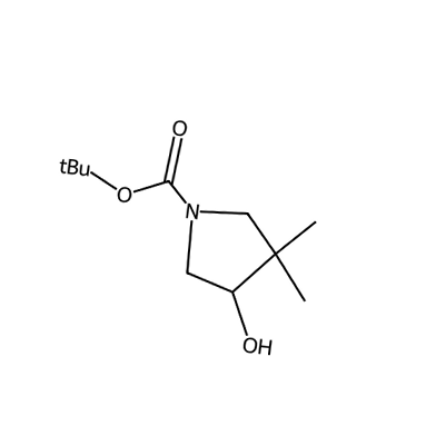 CC(C)(C)OC(=O)N1CC(O)C(C)(C)C1